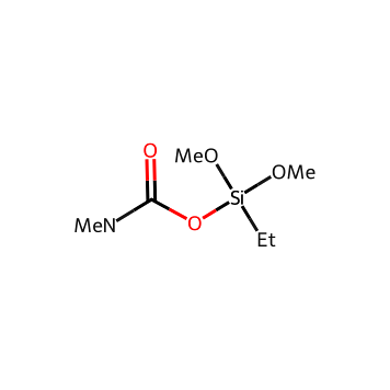 CC[Si](OC)(OC)OC(=O)NC